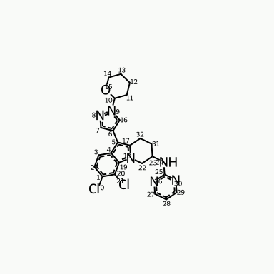 Clc1ccc2c(-c3cnn(C4CCCCO4)c3)c3n(c2c1Cl)CC(Nc1ncccn1)CC3